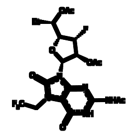 CC[C@H](OC(C)=O)[C@H]1O[C@@H](n2c(=O)n(CC(F)(F)F)c3c(=O)[nH]c(NC(C)=O)nc32)[C@H](OC(C)=O)[C@H]1F